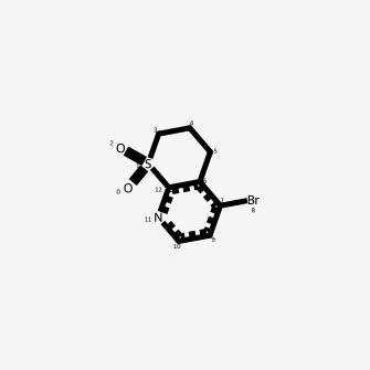 O=S1(=O)CCCc2c(Br)ccnc21